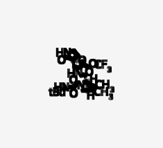 CC(C)(C)NC(=O)C(=O)N1C[C@H]2[C@@H]([C@H]1C(=O)NC(C[C@@H]1CCNC1=O)C(=O)COC(F)(F)F)C2(C)C